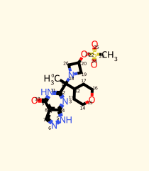 CC(c1nc2[nH]ncc2c(=O)[nH]1)(C1CCOCC1)N1CC(OS(C)(=O)=O)C1